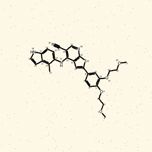 COCCOc1ccc(-c2cc3c(Nc4ccc5[nH]ccc5c4C)c(C#N)cnc3s2)cc1OCCOC